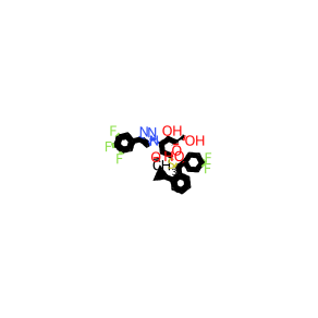 CO[C@@H]1[C@@H](n2cc(-c3cc(F)c(F)c(F)c3)nn2)[C@@H](O)[C@@H](CO)O[C@H]1SC(c1ccccc1C1CC1)C1(O)CCC(F)(F)CC1